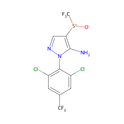 Nc1c([S+]([O-])C(F)(F)F)cnn1-c1c(Cl)cc(C(F)(F)F)cc1Cl